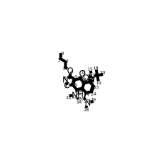 CCCCOc1noc2c1C(=O)[C@@]1(O[Si](C)(C)C(C)(C)C)C(=O)C=C[C@@H](CN(C)C)[C@H]1[C@@H]2N(C)C